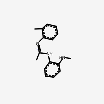 CNc1ccccc1N/C(C)=N\c1ccccc1C